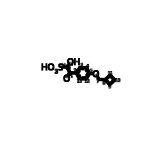 O=C(c1ccc(OCC2CCC2)cc1)C(O)S(=O)(=O)O